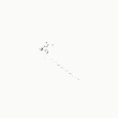 CCCCCCCCCCCCCCCC(=O)OC[C@H](CO)OP(=O)(O)OC1=C(O)C(=O)O[C@@H]1[C@@H](O)CO